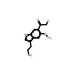 COc1cc2c(CCN)c[nH]c2cc1C(=O)CCl